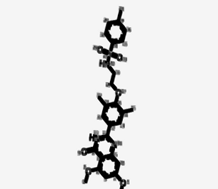 COc1cc(OC)c2c(=O)[nH]c(-c3cc(C)c(OCCNS(=O)(=O)c4ccc(C)cc4)c(C)c3)nc2c1